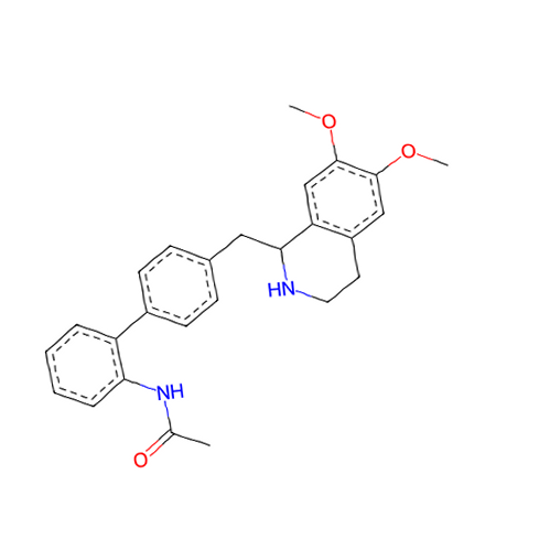 COc1cc2c(cc1OC)C(Cc1ccc(-c3ccccc3NC(C)=O)cc1)NCC2